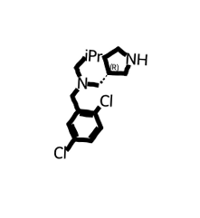 CC(C)CN(Cc1cc(Cl)ccc1Cl)C[C@@H]1CCNC1